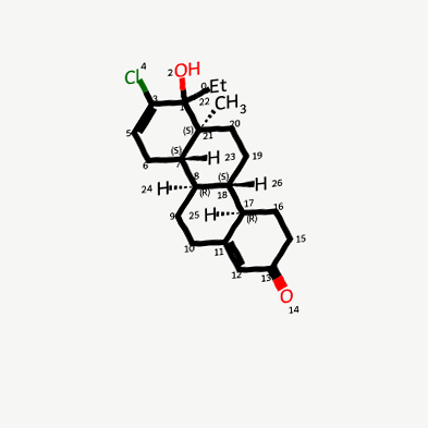 CCC1(O)C(Cl)=CC[C@H]2[C@@H]3CCC4=CC(=O)CC[C@@H]4[C@H]3CC[C@@]21C